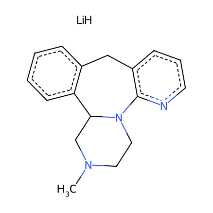 CN1CCN2c3ncccc3Cc3ccccc3C2C1.[LiH]